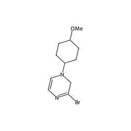 COC1CCC(N2C=CN=C(Br)C2)CC1